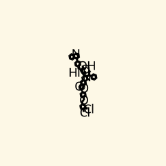 CC[C@@H](c1ccccc1)N1Cc2cc3c(cc2C[C@H]1C(=O)N[C@@H](Cc1ccc(-c2ccnc4ccccc24)cc1)C(=O)O)OC[C@H](c1ccc(OCc2ccc(Cl)c(Cl)c2)cc1)O3